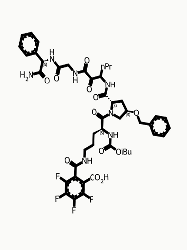 CCCC(NC(=O)[C@@H]1C[C@@H](OCc2ccccc2)CN1C(=O)[C@H](CCCNC(=O)c1c(F)c(F)c(F)c(F)c1C(=O)O)NC(=O)OCC(C)C)C(=O)C(=O)NCC(=O)N[C@H](C(N)=O)c1ccccc1